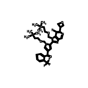 C[Si](C)(C)CCOCn1cc(C(=O)c2ccccc2C(F)(F)F)cc1-c1nc2cnc(C3COC3)c(F)c2n1COCC[Si](C)(C)C